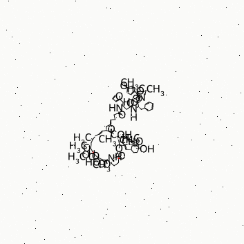 COc1ccc(S(=O)(=O)N(CC(C)C)C[C@H](O)[C@@H](Cc2ccccc2)NC(=O)CC(Cc2ccco2)NC(=O)CC/C=C/C[C@@H]2/C=C(\C)C[C@H](C)C[C@H](OC)[C@H]3O[C@@](O)(C(=O)C(=O)N4CCCC[C@H]4C(=O)O[C@H](/C(C)=C/[C@@H]4CC[C@@H](O)[C@H](OC)C4)[C@H](C)[C@@H](O)CC2=O)[C@H](C)C[C@@H]3OC)cc1